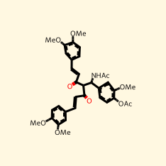 COc1ccc(/C=C/C(=O)C(C(=O)/C=C/c2ccc(OC)c(OC)c2)C(NC(C)=O)c2ccc(OC(C)=O)c(OC)c2)cc1OC